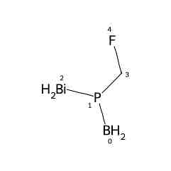 B[P]([BiH2])CF